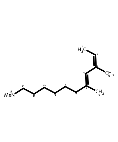 C/C=C(C)\C=C(/C)CCCCCCNC